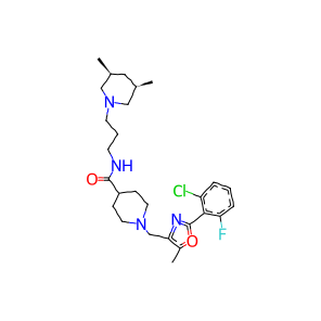 Cc1oc(-c2c(F)cccc2Cl)nc1CN1CCC(C(=O)NCCCN2C[C@H](C)C[C@H](C)C2)CC1